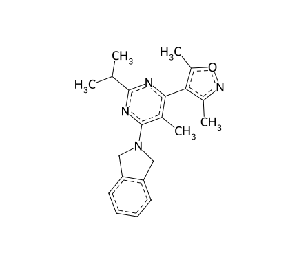 Cc1noc(C)c1-c1nc(C(C)C)nc(N2Cc3ccccc3C2)c1C